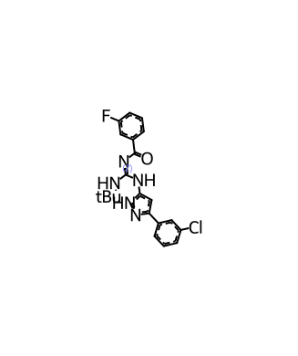 CC(C)(C)N/C(=N/C(=O)c1cccc(F)c1)Nc1cc(-c2cccc(Cl)c2)n[nH]1